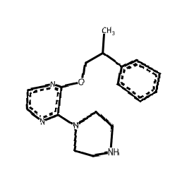 CC(COc1nccnc1N1CCNCC1)c1ccccc1